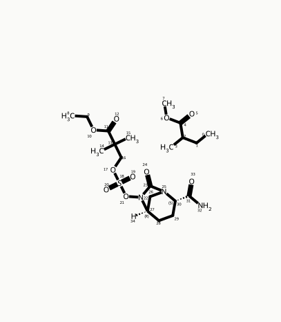 CCC(C)C(=O)OC.CCOC(=O)C(C)(C)COS(=O)(=O)ON1C(=O)N2C[C@H]1CC[C@H]2C(N)=O